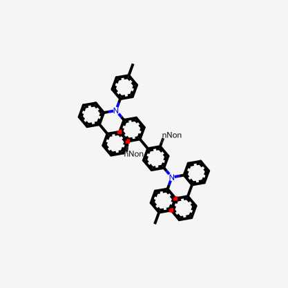 CCCCCCCCCc1cc(N(c2ccc(C)cc2)c2ccccc2-c2ccccc2)ccc1-c1ccc(N(c2ccc(C)cc2)c2ccccc2-c2ccccc2)cc1CCCCCCCCC